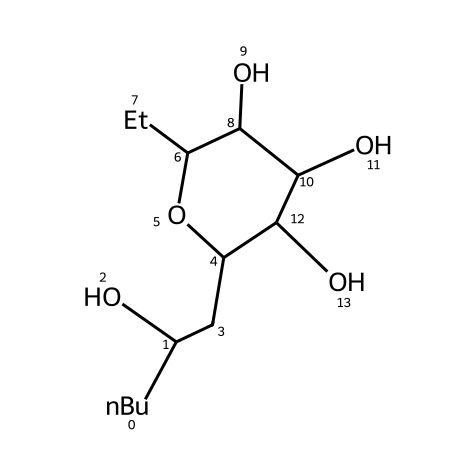 CCCCC(O)CC1OC(CC)C(O)C(O)C1O